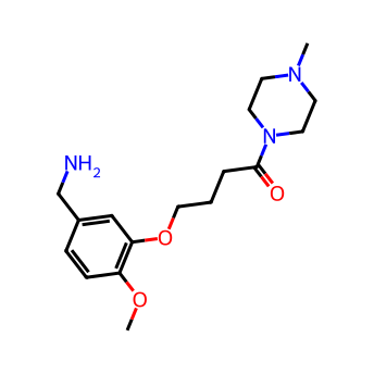 COc1ccc(CN)cc1OCCCC(=O)N1CCN(C)CC1